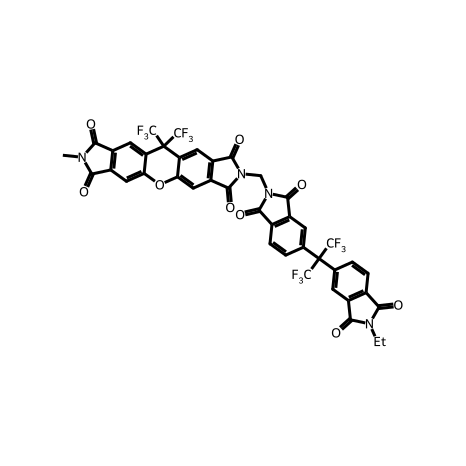 CCN1C(=O)c2ccc(C(c3ccc4c(c3)C(=O)N(CN3C(=O)c5cc6c(cc5C3=O)C(C(F)(F)F)(C(F)(F)F)c3cc5c(cc3O6)C(=O)N(C)C5=O)C4=O)(C(F)(F)F)C(F)(F)F)cc2C1=O